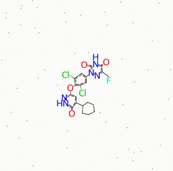 O=c1[nH]nc(Oc2c(Cl)cc(-n3nc(CF)c(=O)[nH]c3=O)cc2Cl)cc1C1CCCCC1